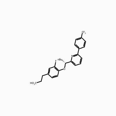 CCCC[C@@H](Oc1ccc(CCC(=O)O)cc1F)c1cccc(-c2ccc(C(F)(F)F)cc2)n1